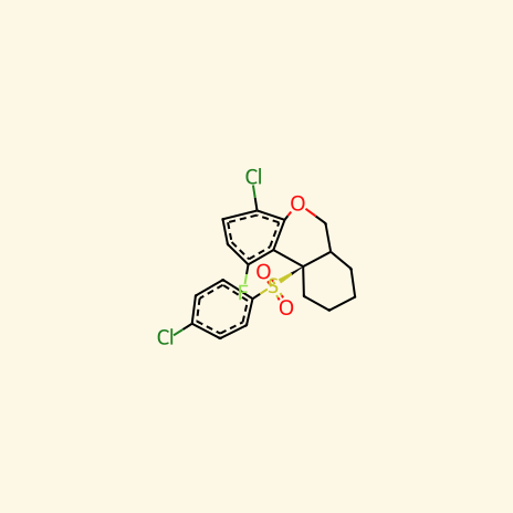 O=S(=O)(c1ccc(Cl)cc1)[C@]12CCCCC1COc1c(Cl)ccc(F)c12